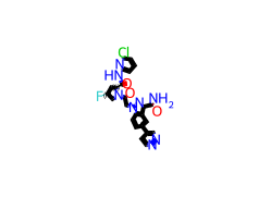 NC(=O)c1nn(CC(=O)N2C[C@H](F)C[C@H]2C(=O)Nc2cccc(Cl)n2)c2ccc(-c3ccnnc3)cc12